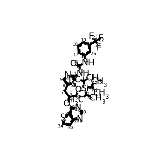 CC(C)[Si](OCC(Cc1cnc(NC(=O)Nc2cccc(C(F)(F)F)c2)s1)Oc1ncnc2ccsc12)(C(C)C)C(C)C